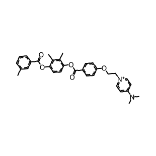 Cc1cccc(C(=O)Oc2ccc(OC(=O)c3ccc(OCC[n+]4ccc(N(C)C)cc4)cc3)c(C)c2C)c1